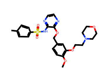 COc1ccc(COc2nccnc2NS(=O)(=O)c2ccc(C)cc2)cc1OCCN1CCOCC1